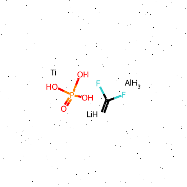 C=C(F)F.O=P(O)(O)O.[AlH3].[LiH].[Ti]